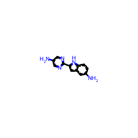 Nc1cnc(-c2cc3cc(N)ccc3[nH]2)nc1